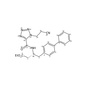 CCOC(=O)C[C@@H](Cc1ccc(-c2ccccc2)cc1)NC(=O)c1nnnn1CCC#N